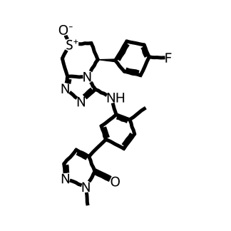 Cc1ccc(-c2ccnn(C)c2=O)cc1Nc1nnc2n1[C@H](c1ccc(F)cc1)C[S+]([O-])C2